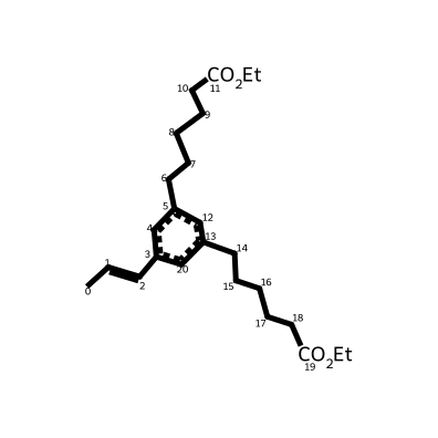 C/C=C/c1cc(CCCCCC(=O)OCC)cc(CCCCCC(=O)OCC)c1